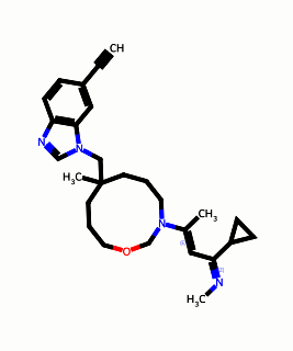 C#Cc1ccc2ncn(CC3(C)CCCOCN(/C(C)=C/C(=N\C)C4CC4)CCC3)c2c1